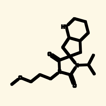 COCCCN1C(=O)N(C(C)C)C2(CC3CCCNC3C2)C1=O